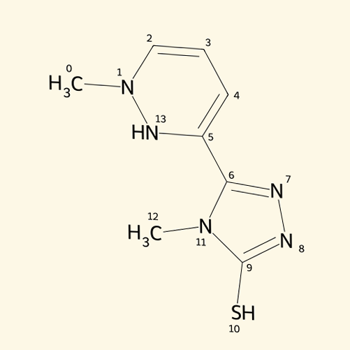 CN1C=CC=C(c2nnc(S)n2C)N1